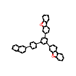 c1ccc2cc(-c3ccc(-c4cc(-c5ccc6c(c5)oc5ccccc56)cc(-c5ccc6c(c5)oc5ccccc56)c4)cc3)ccc2c1